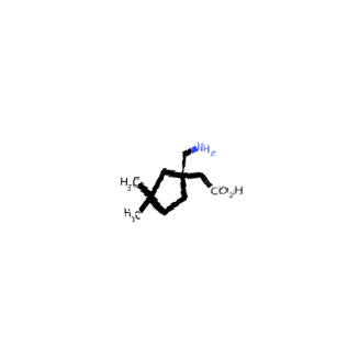 CC1(C)CC[C@@](CN)(CC(=O)O)C1